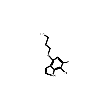 OCCCOc1cc(Cl)c(Cl)c2[nH]ccc12